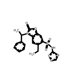 CCc1cc2c(cc1S(=O)(=O)Nc1ncns1)oc(=O)n2C(C)c1ccccc1